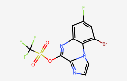 O=S(=O)(Oc1nc2cc(F)cc(Br)c2n2ccnc12)C(F)(F)F